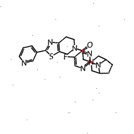 O=C(CN1CC2CCC(C1)N2c1ncc(F)cn1)N1CCc2nc(-c3cccnc3)sc2C1